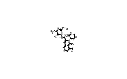 Cc1nc(N)nc(N[C@@H](C)c2cc3cccc(CI)c3c(=O)n2-c2ccccc2)c1C#N